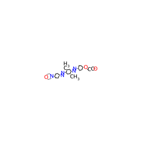 Cc1cc(/N=N/c2ccc(N3CCOCC3)cc2)c(C)cc1/N=N/c1ccc(OC=C=C=O)cc1